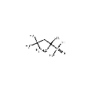 CC(C)(C)CC(C)(C)P(=O)(O)O